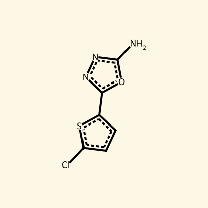 Nc1nnc(-c2ccc(Cl)s2)o1